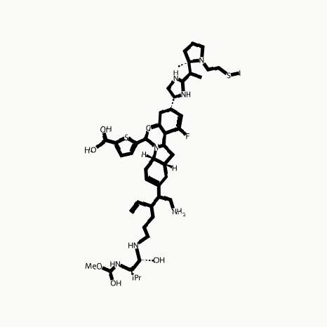 C=CC(CCCN[C@H](O)[C@@H](NC(O)OC)C(C)C)C(CN)C1=CC[C@H]2[C@@H](C1)CC1C3C(F)=C[C@@H](C4CNC(C(C)[C@@]5(C)CCCN5CCSI)N4)CC3OC(C3=CCC(C(O)O)S3)N12